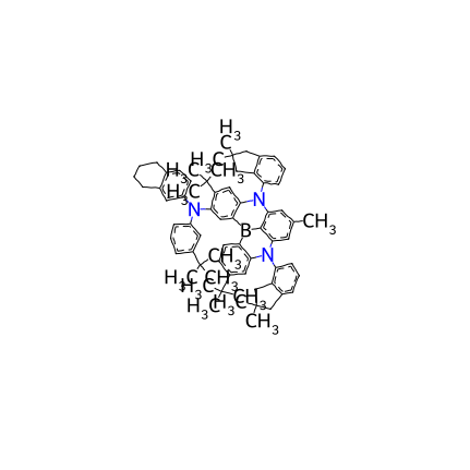 Cc1cc2c3c(c1)N(c1cccc4c1CC(C)(C)C4)c1cc(C(C)(C)C)c(N(c4cccc(C(C)(C)C)c4)c4ccc5c(c4)CCCC5)cc1B3c1ccc(C(C)(C)C)cc1N2c1cccc2c1CC(C)(C)C2